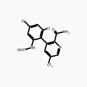 NC(=O)c1ncc(C(F)(F)F)cc1-c1c(Cl)cc(Cl)cc1NC=O